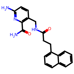 NC(=O)c1nc(N)ccc1CNC(=O)[CH]Cc1cccc2ccccc12